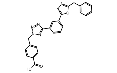 O=C(O)c1ccc(Cn2nnc(-c3cccc(-c4nnc(Cc5ccccc5)o4)c3)n2)cc1